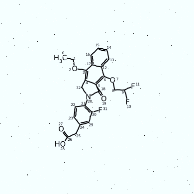 CCOc1c2c(c(OCC(F)F)c3ccccc13)C(=O)N(c1ccc(CC(=O)O)cc1F)C2